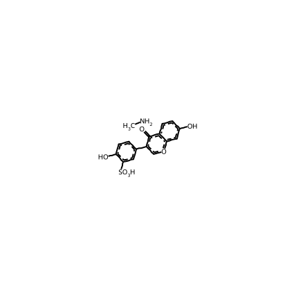 CN.O=c1c(-c2ccc(O)c(S(=O)(=O)O)c2)coc2cc(O)ccc12